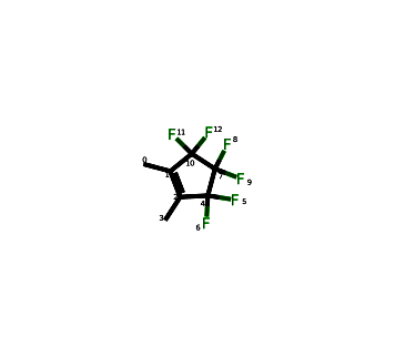 CC1=C(C)C(F)(F)C(F)(F)C1(F)F